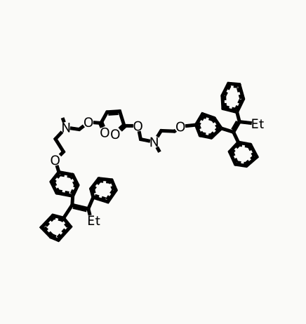 CC/C(=C(\c1ccccc1)c1ccc(OCCN(C)COC(=O)/C=C\C(=O)OCN(C)CCOc2ccc(/C(=C(/CC)c3ccccc3)c3ccccc3)cc2)cc1)c1ccccc1